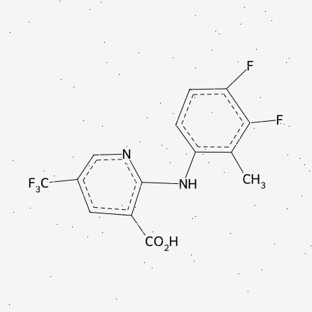 Cc1c(Nc2ncc(C(F)(F)F)cc2C(=O)O)ccc(F)c1F